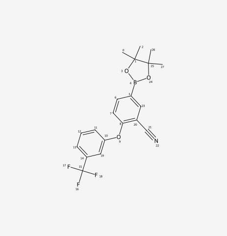 CC1(C)OB(c2ccc(Oc3cccc(C(F)(F)F)c3)c(C#N)c2)OC1(C)C